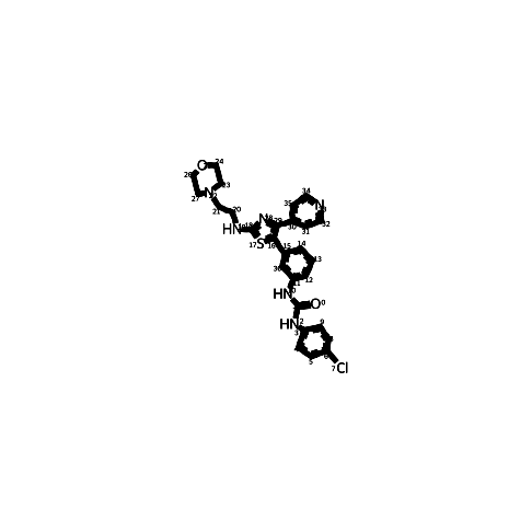 O=C(Nc1ccc(Cl)cc1)Nc1cccc(-c2sc(NCCN3CCOCC3)nc2-c2ccncc2)c1